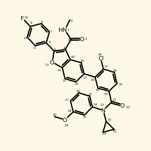 CNC(=O)c1c(-c2ccc(F)cc2)oc2ccc(-c3cc(C(=O)N(c4cccc(OC)c4)C4CC4)ccc3Cl)cc12